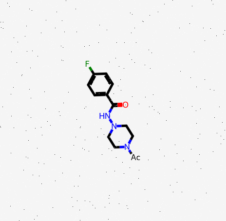 CC(=O)N1CCN(NC(=O)c2ccc(F)cc2)CC1